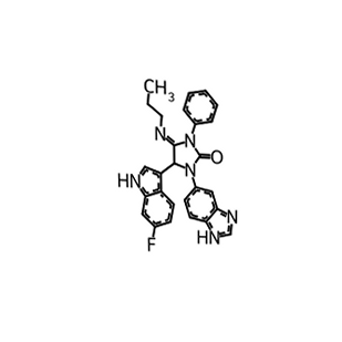 CCCN=C1C(c2c[nH]c3cc(F)ccc23)N(c2ccc3[nH]cnc3c2)C(=O)N1c1ccccc1